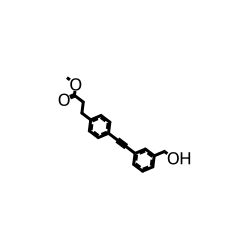 COC(=O)CCc1ccc(C#Cc2cccc(CO)c2)cc1